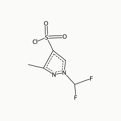 Cc1nn(C(F)F)cc1S(=O)(=O)Cl